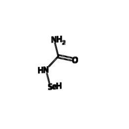 NC(=O)N[SeH]